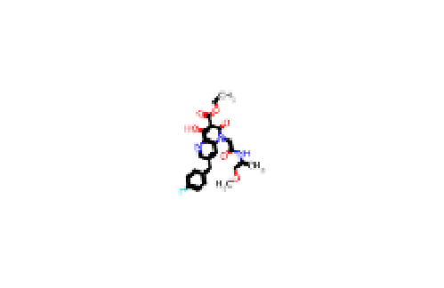 CCOC(=O)c1c(O)c2ncc(Cc3ccc(F)cc3)cc2n(CC(=O)NC(C)COC)c1=O